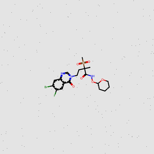 CC(CCn1cnc2cc(Br)c(F)cc2c1=O)(C(=O)NOC1CCCCO1)S(C)(=O)=O